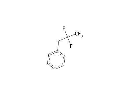 FC(F)(F)C(F)(F)[CH]c1ccccc1